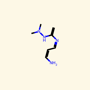 C=C(/N=C\C=C/N)NN(C)C